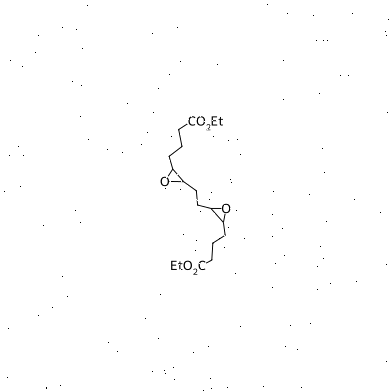 CCOC(=O)CCCC1OC1CCC1OC1CCCC(=O)OCC